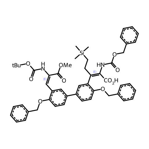 COC(=O)/C(=C\c1cc(-c2ccc(OCc3ccccc3)c(/C(CC[Si](C)(C)C)=C(/NC(=O)OCc3ccccc3)C(=O)O)c2)ccc1OCc1ccccc1)NC(=O)OC(C)(C)C